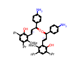 CCCc1cc(CCC)c(OC)c(/C=C/C(=O)c2ccc(N)cc2)c1O.COc1c(C(C)C)cc(C(C)C)c(O)c1/C=C/C(=O)c1ccc(N)cc1